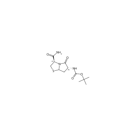 CC(C)(C)OC(=O)N[C@@H]1CC2SC[C@@H](C(N)=O)N2C1=O